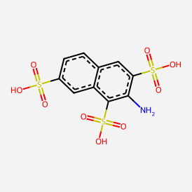 Nc1c(S(=O)(=O)O)cc2ccc(S(=O)(=O)O)cc2c1S(=O)(=O)O